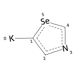 [K][c]1cnc[se]1